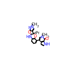 CC(C)C1(c2cnn(C)c2)Oc2c(cccc2-c2cn(C)c(=O)c3[nH]ccc23)NC1=O